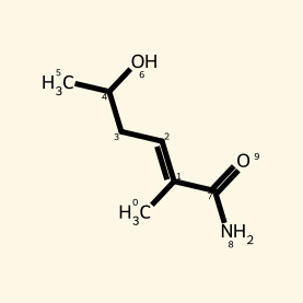 C/C(=C\CC(C)O)C(N)=O